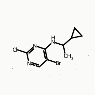 CC(Nc1nc(Cl)ncc1Br)C1CC1